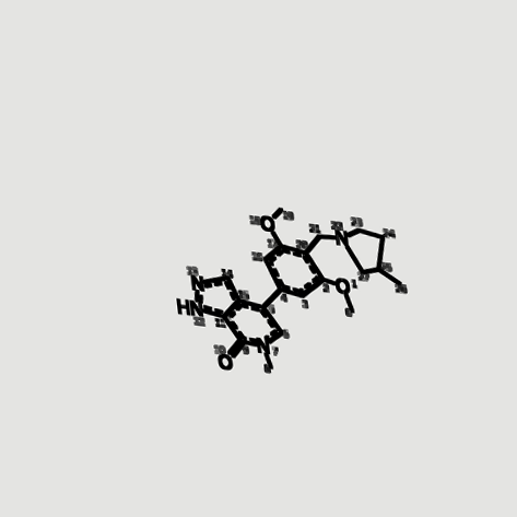 COc1cc(-c2cn(C)c(=O)c3[nH]ncc23)cc(OC)c1CN1CCC(C)C1